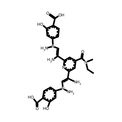 CCN(C)C(=O)c1cc(/C(N)=C/N(N)c2ccc(C(=O)O)c(O)c2)nc(/C(N)=C/N(N)c2ccc(C(=O)O)c(O)c2)c1